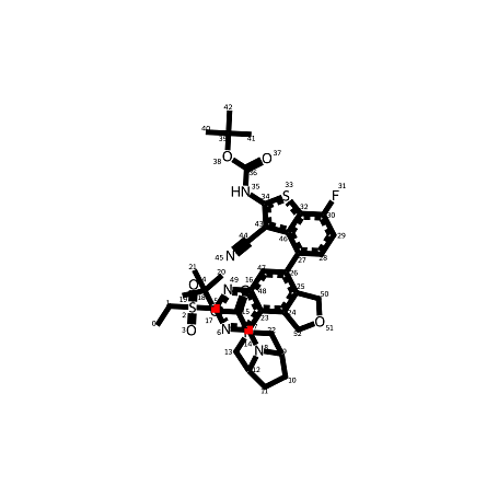 CCS(=O)(=O)c1nc(N2C3CCC2CN(C(=O)OC(C)(C)C)C3)c2c3c(c(-c4ccc(F)c5sc(NC(=O)OC(C)(C)C)c(C#N)c45)cc2n1)COC3